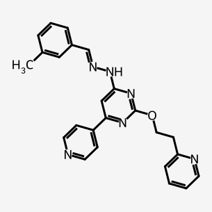 Cc1cccc(C=NNc2cc(-c3ccncc3)nc(OCCc3ccccn3)n2)c1